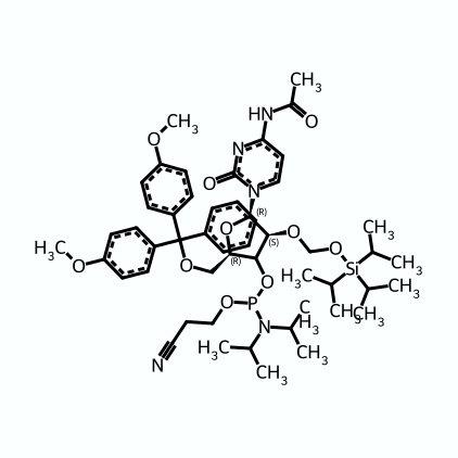 COc1ccc(C(OC[C@H]2O[C@@H](n3ccc(NC(C)=O)nc3=O)[C@@H](OCO[Si](C(C)C)(C(C)C)C(C)C)C2OP(OCCC#N)N(C(C)C)C(C)C)(c2ccccc2)c2ccc(OC)cc2)cc1